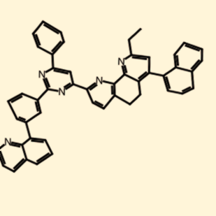 CCc1cc(-c2cccc3ccccc23)c2c(n1)-c1nc(-c3cc(-c4ccccc4)nc(-c4cccc(-c5cccc6cccnc56)c4)n3)ccc1CC2